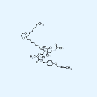 CC#CCOc1ccc(C[C@H](NC(=O)[C@@H](C=CCCCCCCC2(CCCCCCC)OCCO2)[C@@](O)(CCCC(=O)O)C(=O)O)C(=O)OC)cc1